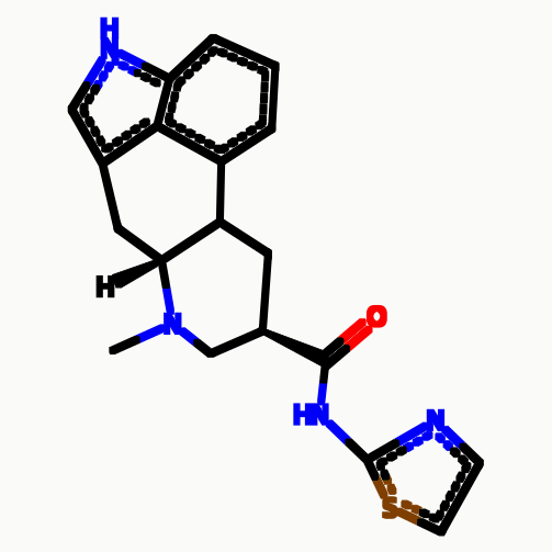 CN1C[C@H](C(=O)Nc2nccs2)CC2c3cccc4[nH]cc(c34)C[C@H]21